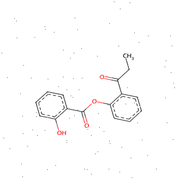 CCC(=O)c1ccccc1OC(=O)c1ccccc1O